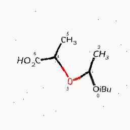 CC(C)COC(C)OC(C)C(=O)O